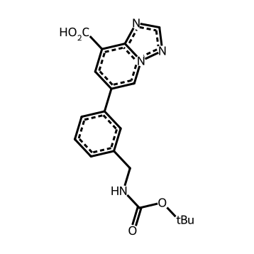 CC(C)(C)OC(=O)NCc1cccc(-c2cc(C(=O)O)c3ncnn3c2)c1